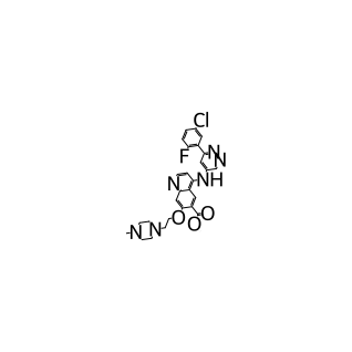 COC(=O)c1cc2c(Nc3cnnc(-c4cc(Cl)ccc4F)c3)ccnc2cc1OCCN1CCN(C)CC1